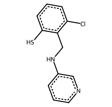 Sc1cccc(Cl)c1CNc1cccnc1